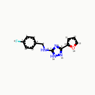 Fc1ccc(CNc2nc(-c3ccco3)n[nH]2)cc1